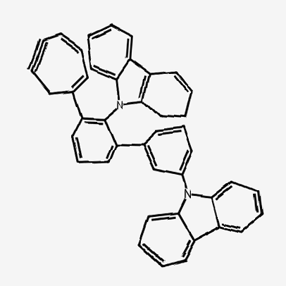 C1#CCC(c2cccc(-c3cccc(-n4c5ccccc5c5ccccc54)c3)c2-n2c3c(c4ccccc42)C=CCC3)=CC=C1